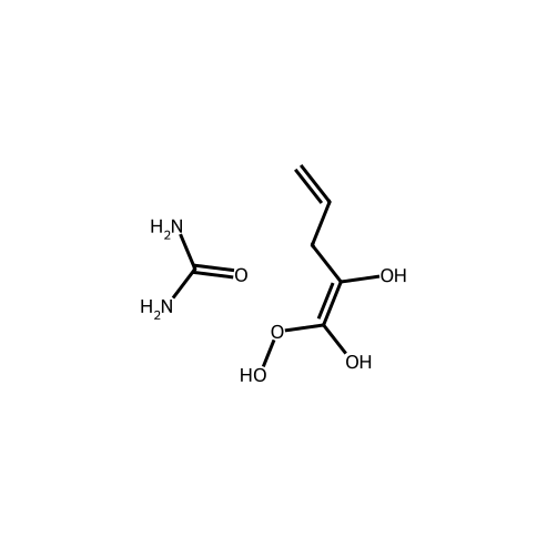 C=CCC(O)=C(O)OO.NC(N)=O